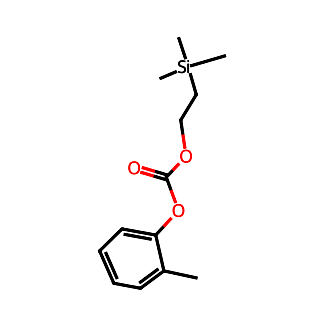 Cc1ccccc1OC(=O)OCC[Si](C)(C)C